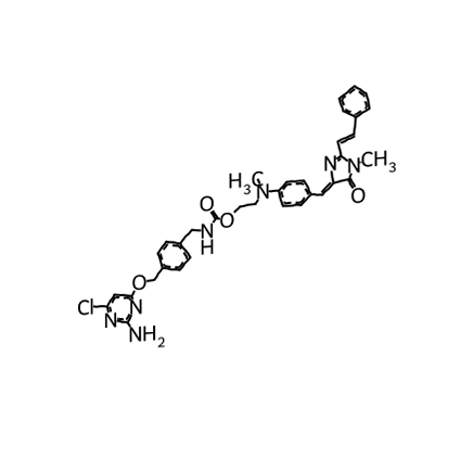 CN1C(=O)/C(=C/c2ccc(N(C)CCOC(=O)NCc3ccc(COc4cc(Cl)nc(N)n4)cc3)cc2)N=C1/C=C/c1ccccc1